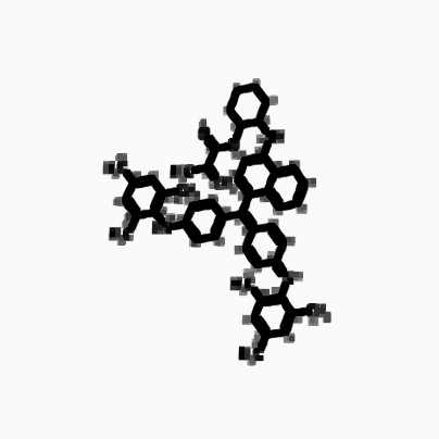 C=C(C)C(=O)OC1CCCCC1Nc1ccc(C(=C2C=CC(=Nc3c(C)cc(C)cc3C)C=C2)c2ccc(Nc3c(C)cc(C)cc3C)cc2)c2ccccc12